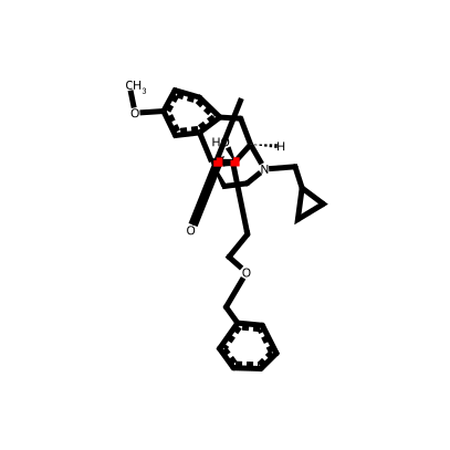 COc1ccc2c(c1)[C@]13CCN(CC4CC4)[C@H](C2)[C@]1(O)CC(CCOCc1ccccc1)C(=O)C3